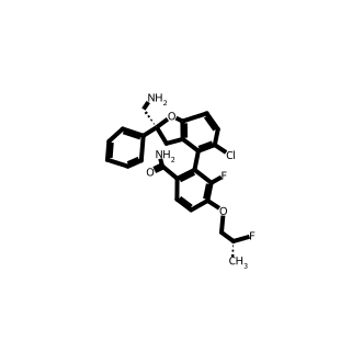 C[C@@H](F)COc1ccc(C(N)=O)c(-c2c(Cl)ccc3c2C[C@@](CN)(c2ccccc2)O3)c1F